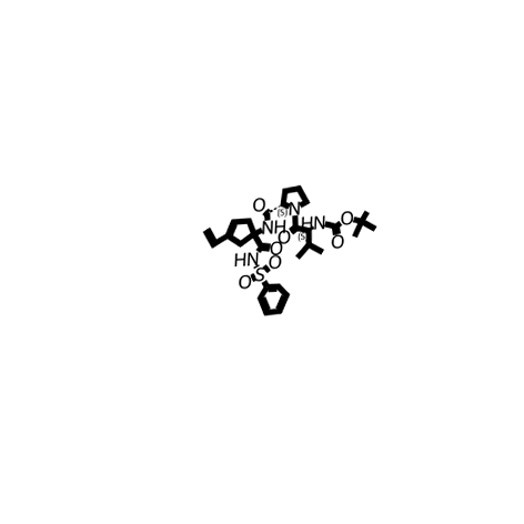 C=CC1=CCC(NC(=O)[C@@H]2CCCN2C(=O)[C@@H](NC(=O)OC(C)(C)C)C(C)C)(C(=O)NS(=O)(=O)c2ccccc2)C1